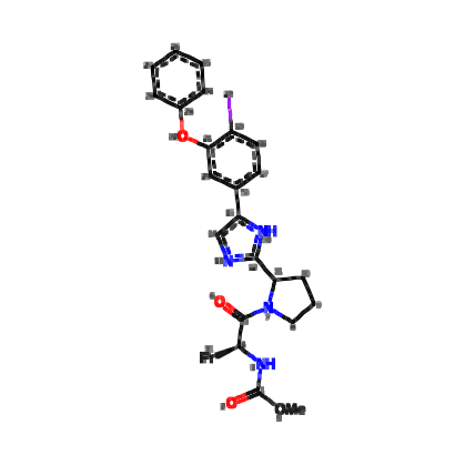 COC(=O)N[C@H](C(=O)N1CCCC1c1ncc(-c2ccc(I)c(Oc3ccccc3)c2)[nH]1)C(C)C